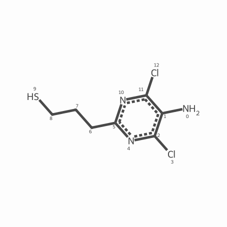 Nc1c(Cl)nc(CCCS)nc1Cl